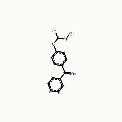 CCCCNC(CC)Oc1ccc(C(=O)c2ccccc2)cc1